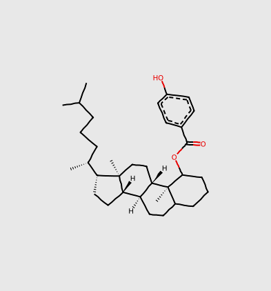 CC(C)CCC[C@@H](C)[C@H]1CC[C@H]2[C@@H]3CCC4CCCC(OC(=O)c5ccc(O)cc5)[C@]4(C)[C@H]3CC[C@]12C